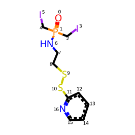 O=P(CI)(CI)NCCSSc1ccccn1